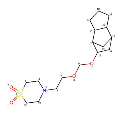 O=S1(=O)CCN(CCOCOC2CC3CC2C2CCCC32)CC1